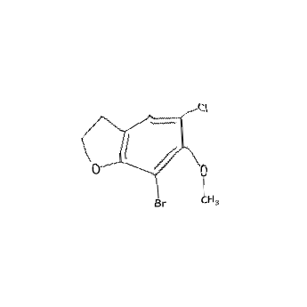 COc1c(Cl)cc2c(c1Br)OCC2